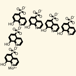 O=S(=O)([O-])c1ccc(O)c2ncccc12.O=S(=O)([O-])c1ccc(O)c2ncccc12.O=S(=O)([O-])c1ccc(O)c2ncccc12.O=S(=O)([O-])c1ccc(O)c2ncccc12.O=S(=O)([O-])c1ccc(O)c2ncccc12.O=S(=O)([O-])c1ccc(O)c2ncccc12.[Mo+6]